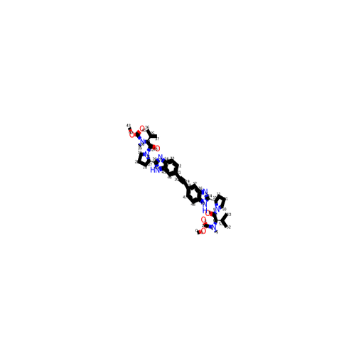 COC(=O)N(C)[C@H](C(=O)N1CCC[C@H]1c1nc2cc(C#Cc3ccc4nc([C@@H]5CCCN5C(=O)[C@H](C(C)C)N(C)C(=O)OC)[nH]c4c3)ccc2[nH]1)C(C)C